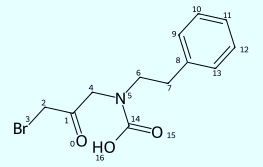 O=C(CBr)CN(CCc1ccccc1)C(=O)O